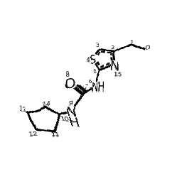 CCc1csc(NC(=O)NC2CCCC2)n1